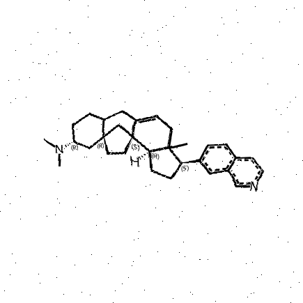 CN(C)[C@@H]1CCC2CC3=CCC4(C)[C@@H](c5ccc6ccncc6c5)CC[C@H]4[C@@]34CC[C@]2(C1)C4